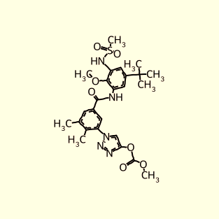 COC(=O)Oc1cn(-c2cc(C(=O)Nc3cc(C(C)(C)C)cc(NS(C)(=O)=O)c3OC)cc(C)c2C)nn1